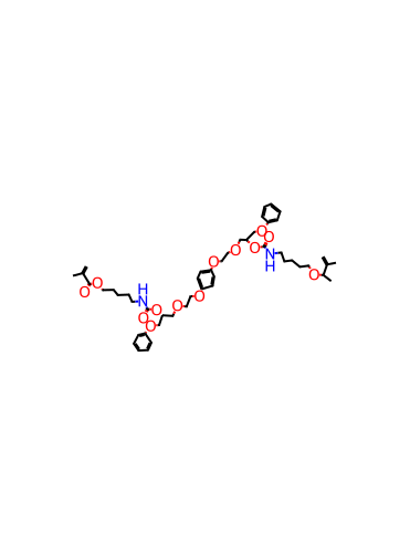 C=C(C)C(=O)OCCCCCNC(=O)OC(COCCOc1ccc(OCCOCC(COc2ccccc2)OC(=O)NCCCCCOC(C)C(=C)C)cc1)COc1ccccc1